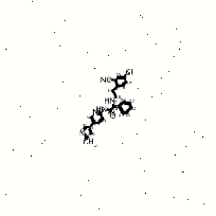 Cn1cc(-c2ccc(NC(=O)C(NCCc3ccc(Cl)cc3C#N)c3ccccc3)nc2)cn1